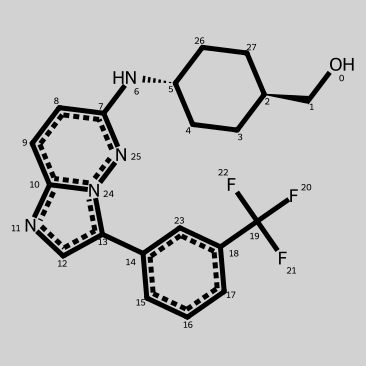 OC[C@H]1CC[C@H](Nc2ccc3ncc(-c4cccc(C(F)(F)F)c4)n3n2)CC1